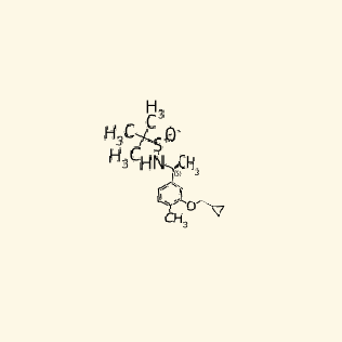 Cc1ccc([C@H](C)N[S+]([O-])C(C)(C)C)cc1OCC1CC1